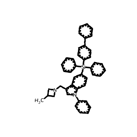 CC1CN(Cc2cn(-c3ccccc3)c3ccc([Si](c4ccccc4)(c4ccccc4)c4ccc(-c5ccccc5)cc4)cc23)C1